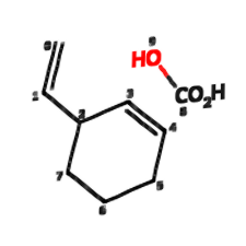 C=CC1C=CCCC1.O=C(O)O